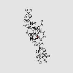 CCOc1ccc(C[C@H](Sc2nnc(NC3CN(C(=O)OC(C)(C)C)C3)s2)B2OC3CC4CC(C4(C)C)[C@]3(C)O2)c(C)c1C(=O)OC(C)(C)C